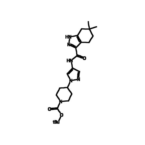 CC1(C)CCc2c(C(=O)Nc3cnn(C4CCN(C(=O)OC(C)(C)C)CC4)c3)n[nH]c2C1